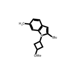 COC1CC(n2c(C(C)(C)C)cc3ccc(C)cc32)C1